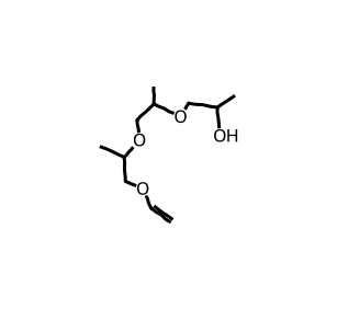 C=COCC(C)OCC(C)OCC(C)O